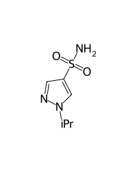 CC(C)n1cc(S(N)(=O)=O)cn1